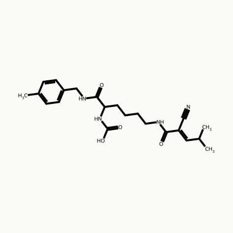 Cc1ccc(CNC(=O)C(CCCCNC(=O)C(C#N)=CC(C)C)NC(=O)O)cc1